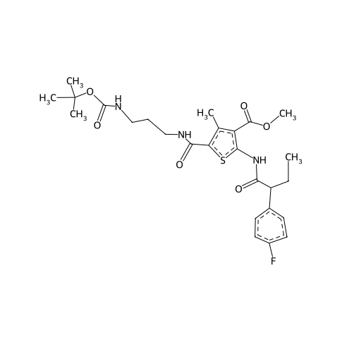 CCC(C(=O)Nc1sc(C(=O)NCCCNC(=O)OC(C)(C)C)c(C)c1C(=O)OC)c1ccc(F)cc1